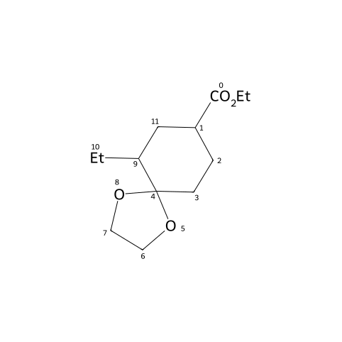 CCOC(=O)C1CCC2(OCCO2)C(CC)C1